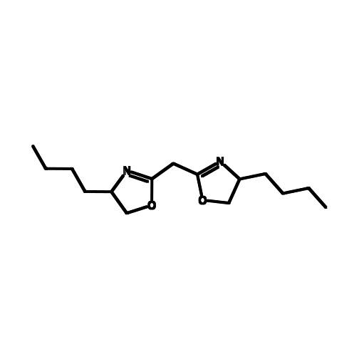 CCCCC1COC(CC2=NC(CCCC)CO2)=N1